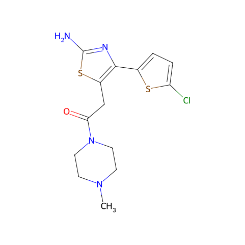 CN1CCN(C(=O)Cc2sc(N)nc2-c2ccc(Cl)s2)CC1